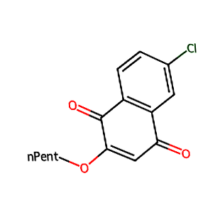 CCCCCOC1=CC(=O)c2cc(Cl)ccc2C1=O